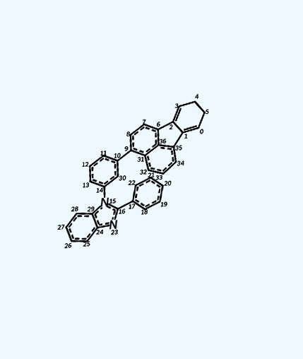 C1=C2C(=CCC1)c1ccc(-c3cccc(-n4c(-c5ccccc5)nc5ccccc54)c3)c3cccc2c13